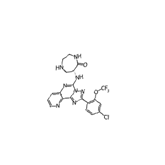 O=C1NCCNC[C@H]1Nc1nc2cccnc2c2nc(-c3ccc(Cl)cc3OC(F)(F)F)nn12